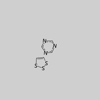 C1=CSSS1.c1ncncn1